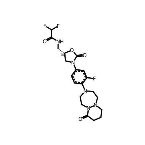 O=C(NC[C@H]1CN(c2ccc(N3CCN4CCCC(=O)N4CC3)c(F)c2)C(=O)O1)C(F)F